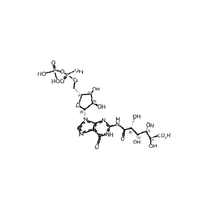 O=C(O)[C@@H](O)[C@@H](O)[C@H](O)[C@@H](O)C(=O)Nc1nc2c(ncn2[C@@H]2O[C@H](COP(=O)(O)OP(=O)(O)O)[C@@H](O)[C@H]2O)c(=O)[nH]1